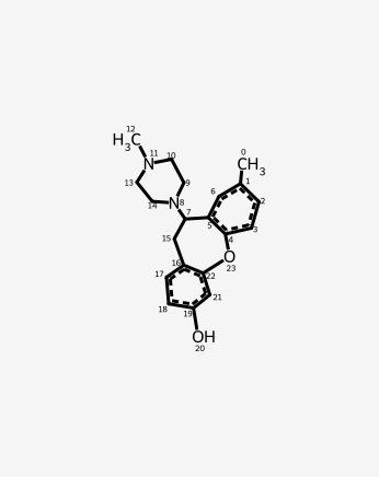 Cc1ccc2c(c1)C(N1CCN(C)CC1)Cc1ccc(O)cc1O2